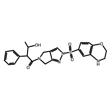 CC(O)C(C(=O)N1Cc2cn(S(=O)(=O)c3ccc4c(c3)NCCO4)nc2C1)c1ccccc1